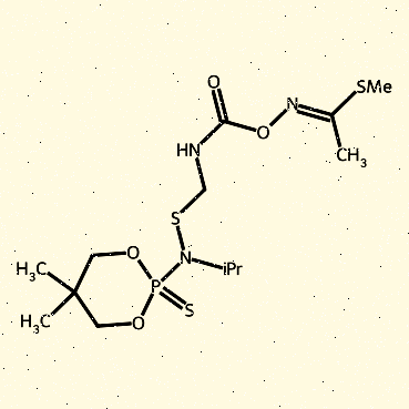 CSC(C)=NOC(=O)NCSN(C(C)C)P1(=S)OCC(C)(C)CO1